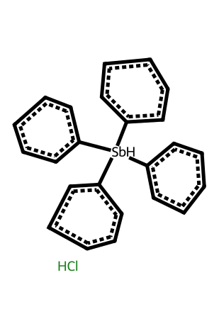 Cl.c1cc[c]([SbH]([c]2ccccc2)([c]2ccccc2)[c]2ccccc2)cc1